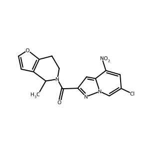 CC1c2ccoc2CCN1C(=O)c1cc2c([N+](=O)[O-])cc(Cl)cn2n1